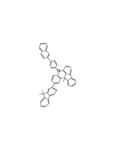 CC1(C)c2ccccc2-c2ccc(-c3ccc4c(c3)C3(C)c5ccccc5-c5cccc(c53)N4c3ccc(-c4ccc5ccccc5c4)cc3)cc21